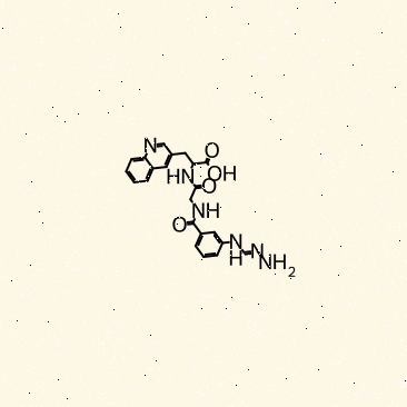 NN=CNc1cccc(C(=O)NCC(=O)NC(Cc2cnc3ccccc3c2)C(=O)O)c1